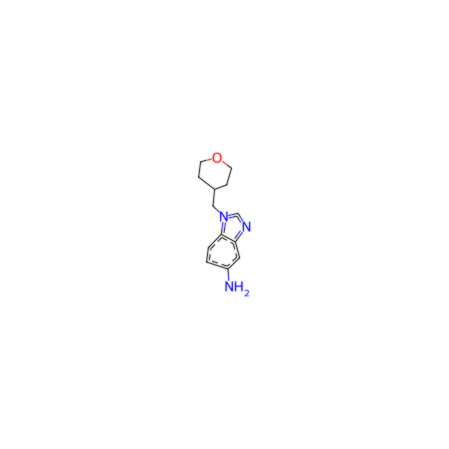 Nc1ccc2c(c1)ncn2CC1CCOCC1